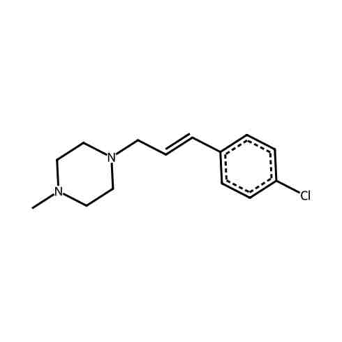 CN1CCN(C/C=C/c2ccc(Cl)cc2)CC1